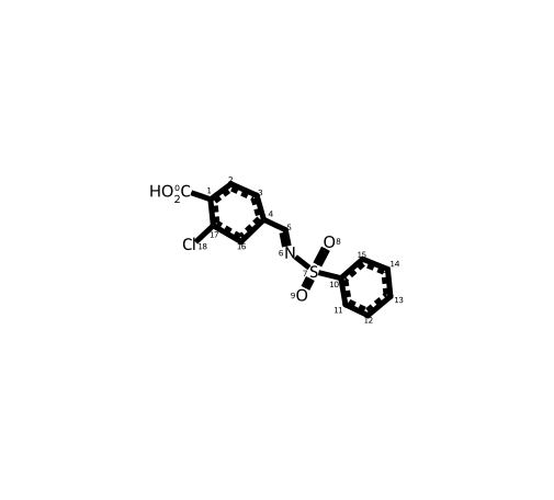 O=C(O)c1ccc(C=NS(=O)(=O)c2ccccc2)cc1Cl